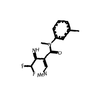 CN/C=C(\C(=N)C(F)F)C(=O)N(C)c1cccc(C)c1